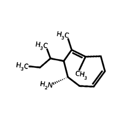 CCC(C)C1/C(C)=C(\C)C/C=C\C[C@@H]1N